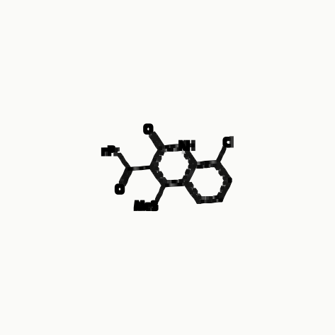 CCCC(=O)c1c(SC)c2cccc(Cl)c2[nH]c1=O